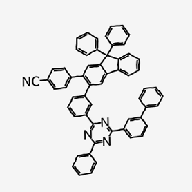 N#Cc1ccc(-c2cc3c(cc2-c2cccc(-c4nc(-c5ccccc5)nc(-c5cccc(-c6ccccc6)c5)n4)c2)-c2ccccc2C3(c2ccccc2)c2ccccc2)cc1